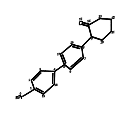 CCCc1ccc(-c2ccc(C3CCCCC3=O)cc2)cc1